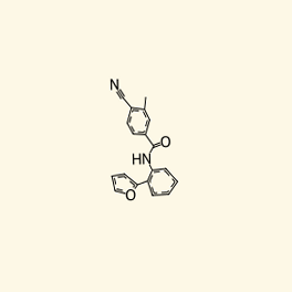 Cc1cc(C(=O)Nc2ccccc2-c2ccco2)ccc1C#N